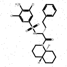 Nc1c(Cl)cc(S(=O)(=O)N[C@H](CCc2ccccc2)C(=O)N2CCC[C@H]3CCCC[C@@H]32)cc1Cl